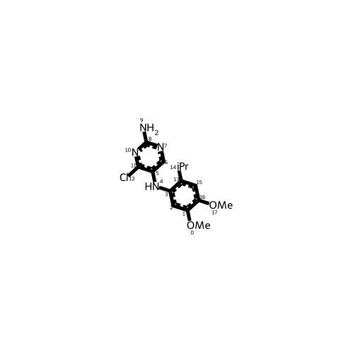 COc1cc(Nc2cnc(N)nc2Cl)c(C(C)C)cc1OC